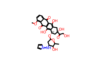 COc1cccc2c1C(=O)c1c(O)c3c(c(O)c1C2=O)C[C@@](O)(C(=O)CO)C[C@@H]3OC1CC(Nn2cccc2)C(O)C(C)O1